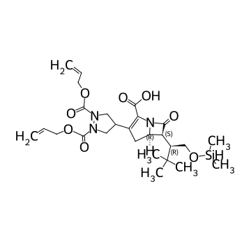 C=CCOC(=O)N1CC(C2=C(C(=O)O)N3C(=O)[C@@H]([C@@H](CO[SiH](C)C)C(C)(C)C)[C@H]3C2)CN1C(=O)OCC=C